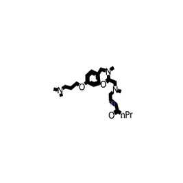 CCCC(=O)/C=C/CN(C)CC(=O)N(C)Cc1ccc(OCCCN(C)C)cc1